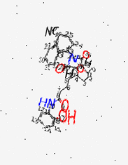 CC12CCC(CCCC(=O)Nc3ccccc3O)(O1)[C@@H]1C(=O)N(c3ccc(C#N)c4ccccc34)C(=O)[C@@H]12